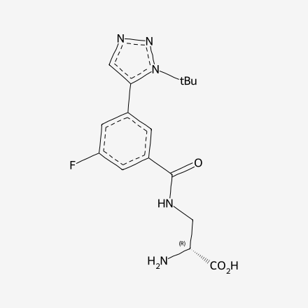 CC(C)(C)n1nncc1-c1cc(F)cc(C(=O)NC[C@@H](N)C(=O)O)c1